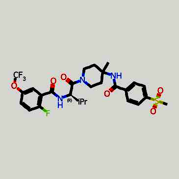 CC(C)[C@@H](NC(=O)c1cc(OC(F)(F)F)ccc1F)C(=O)N1CCC(C)(NC(=O)c2ccc(S(C)(=O)=O)cc2)CC1